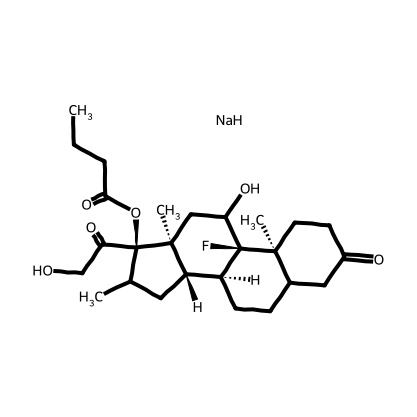 CCCC(=O)O[C@]1(C(=O)CO)C(C)C[C@H]2[C@@H]3CCC4CC(=O)CC[C@]4(C)[C@@]3(F)C(O)C[C@@]21C.[NaH]